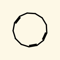 [CH]1CC=CC=CCCCCC=CC1